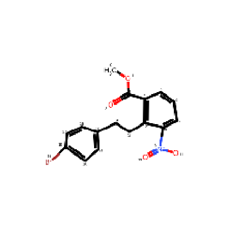 COC(=O)c1cccc([N+](=O)[O-])c1CCc1ccc(Br)cc1